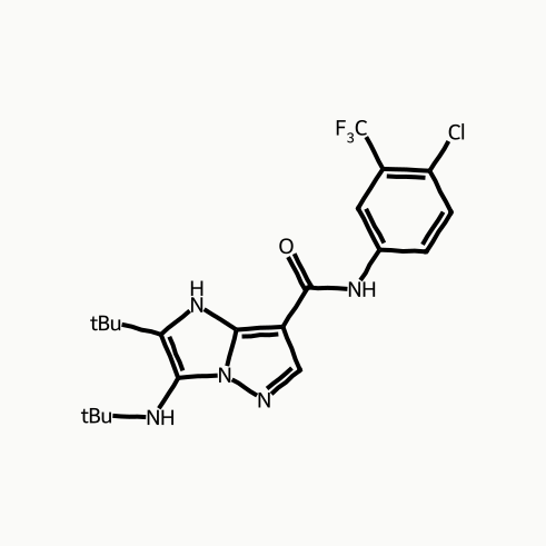 CC(C)(C)Nc1c(C(C)(C)C)[nH]c2c(C(=O)Nc3ccc(Cl)c(C(F)(F)F)c3)cnn12